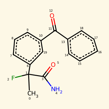 CC(F)(C(N)=O)c1cccc(C(=O)c2ccccc2)c1